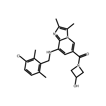 Cc1ccc(Cl)c(C)c1CNc1cc(C(=O)N2CC(O)C2)cn2c(C)c(C)nc12